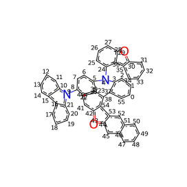 c1ccc(N(c2ccc(-n3c4ccccc4c4ccccc43)cc2)c2cccc3oc4ccccc4c23)c(-c2cccc3oc4cc5ccccc5cc4c23)c1